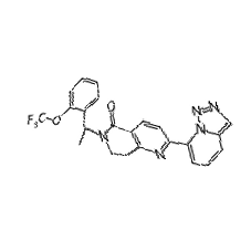 CC(c1ccccc1OC(F)(F)F)N1CCc2nc(-c3cccc4cnnn34)ccc2C1=O